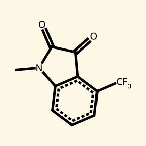 CN1C(=O)C(=O)c2c1cccc2C(F)(F)F